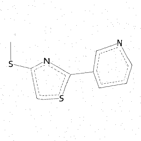 CSc1csc(-c2cccnc2)n1